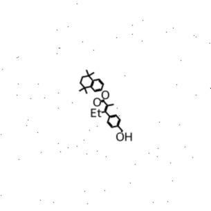 CC/C(=C(/C)C(=O)Oc1ccc2c(c1)C(C)(C)CCC2(C)C)c1ccc(CO)cc1